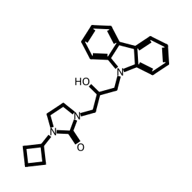 O=C1N(CC(O)Cn2c3ccccc3c3ccccc32)CCN1C1CCC1